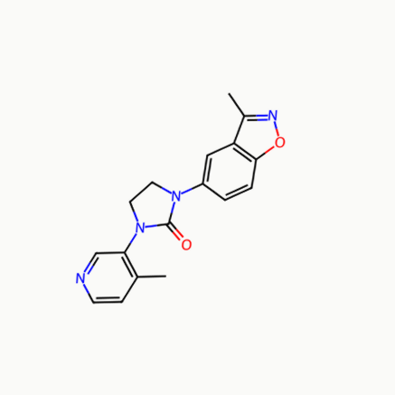 Cc1ccncc1N1CCN(c2ccc3onc(C)c3c2)C1=O